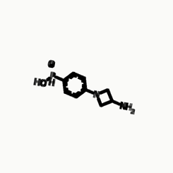 NC1CN(c2ccc([PH](=O)O)cc2)C1